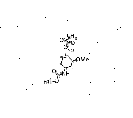 CO[C@H]1C[C@@H](NC(=O)OC(C)(C)C)CC[C@@H]1COS(C)(=O)=O